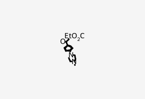 CCOC(=O)CC(=O)c1ccc(N2CCN(C)CC2)cc1